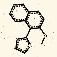 COc1ccc2ccccc2c1-c1nccs1